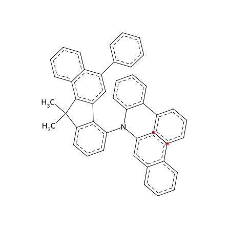 CC1(C)c2cccc(N(c3ccc4ccccc4c3)c3ccccc3-c3ccccc3)c2-c2cc(-c3ccccc3)c3ccccc3c21